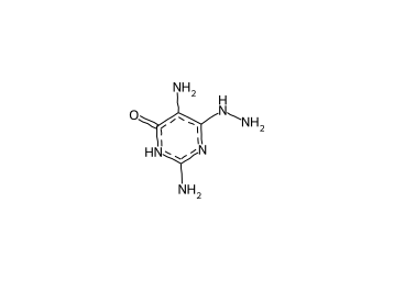 NNc1nc(N)[nH]c(=O)c1N